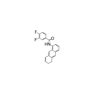 O=C(Nc1cccc2cc3c(cc12)C=CCC3)c1ccc(F)c(F)c1